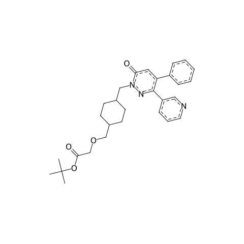 CC(C)(C)OC(=O)COCC1CCC(Cn2nc(-c3cccnc3)c(-c3ccccc3)cc2=O)CC1